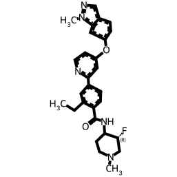 CCc1cc(-c2cc(Oc3ccc4cnn(C)c4c3)ccn2)ccc1C(=O)NC1CCN(C)C[C@H]1F